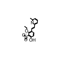 CCOc1c(C=Cc2cccc(C)n2)ccc(O)c1[N+](=O)[O-]